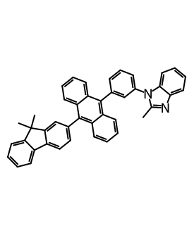 Cc1nc2ccccc2n1-c1cccc(-c2c3ccccc3c(-c3ccc4c(c3)C(C)(C)c3ccccc3-4)c3ccccc23)c1